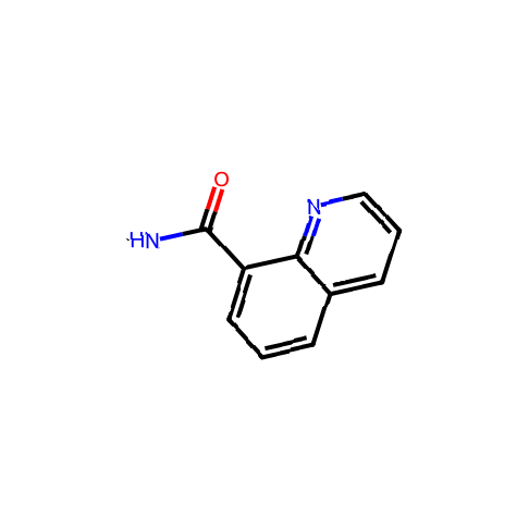 [NH]C(=O)c1cccc2cccnc12